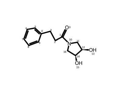 O=C([CH]Cc1ccccc1)N1C[C@@H](O)[C@@H](O)C1